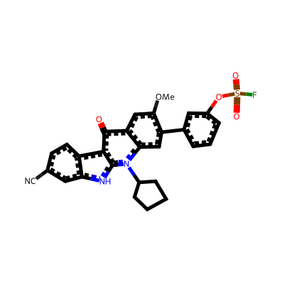 COc1cc2c(=O)c3c4ccc(C#N)cc4[nH]c3n(C3CCCC3)c2cc1-c1cccc(OS(=O)(=O)F)c1